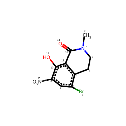 CN1CCc2c(Br)cc([N+](=O)[O-])c(O)c2C1=O